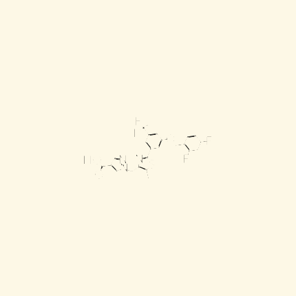 Cc1sc(-c2cc(OCC3=C(F)CC(F)C=C3)cc(C(F)(F)F)c2)nc1Cn1cc(C(=O)O)cn1